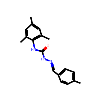 Cc1ccc(/C=N/NC(=O)Nc2c(C)cc(C)cc2C)cc1